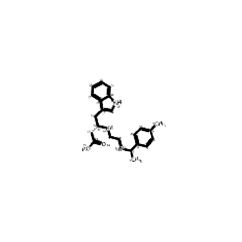 Cc1ccc(C(C)NCCN[C@H](CC(=O)O)Cc2c[nH]c3ccccc23)cc1